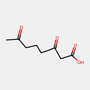 CC(=O)CCCC(=O)CC(=O)O